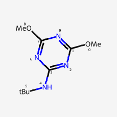 COc1nc(NC(C)(C)C)nc(OC)n1